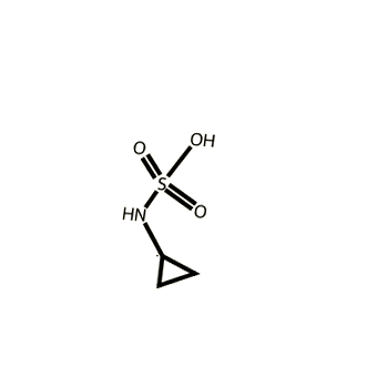 O=S(=O)(O)N[C]1CC1